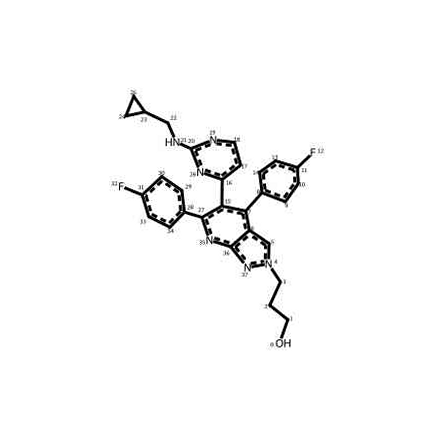 OCCCn1cc2c(-c3ccc(F)cc3)c(-c3ccnc(NCC4CC4)n3)c(-c3ccc(F)cc3)nc2n1